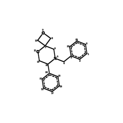 c1ccc(CN2CC3(COC3)OCC2c2ccccc2)cc1